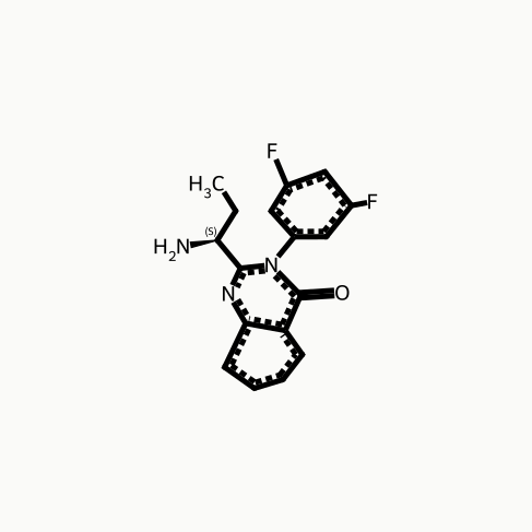 CC[C@H](N)c1nc2ccccc2c(=O)n1-c1cc(F)cc(F)c1